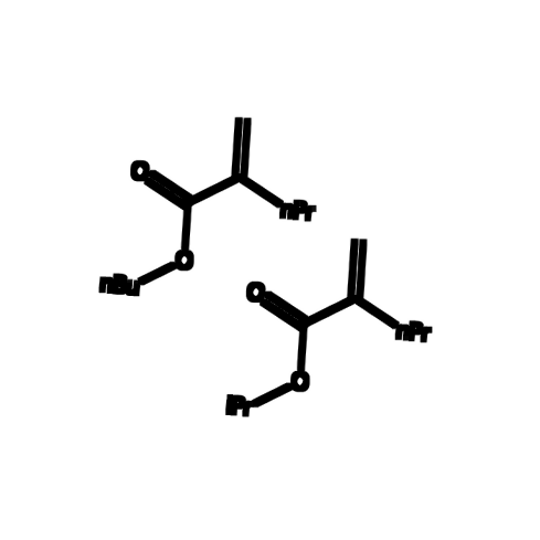 C=C(CCC)C(=O)OC(C)C.C=C(CCC)C(=O)OCCCC